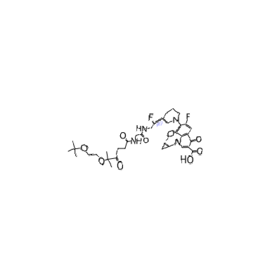 COc1c(N2CCC/C(=C(\F)CNC(=O)CNC(=O)CCC(=O)C(C)(C)OCCOC(C)(C)C)C2)c(F)cc2c(=O)c(C(=O)O)cn(C3CC3)c12